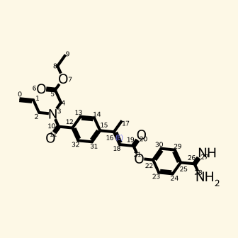 C=CCN(CC(=O)OCC)C(=O)c1ccc(/C(C)=C/C(=O)Oc2ccc(C(=N)N)cc2)cc1